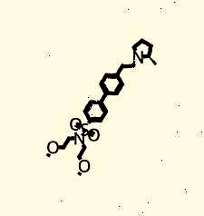 COCCN(CCOC)S(=O)(=O)c1ccc(-c2ccc(CCN3CCC[C@H]3C)cc2)cc1